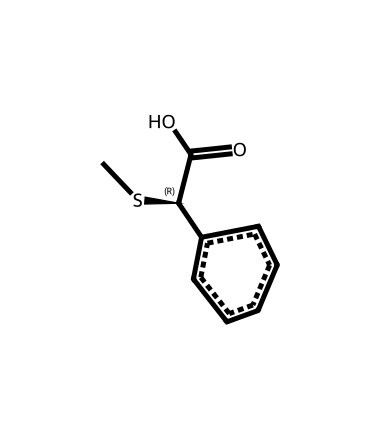 CS[C@@H](C(=O)O)c1ccccc1